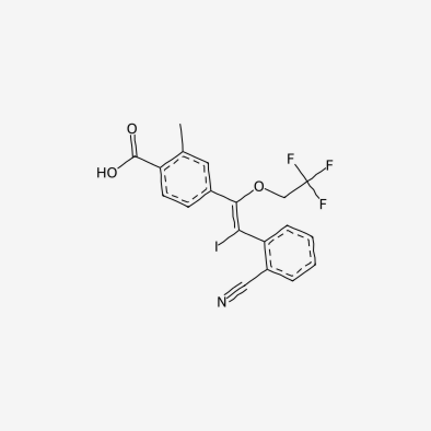 Cc1cc(C(OCC(F)(F)F)=C(I)c2ccccc2C#N)ccc1C(=O)O